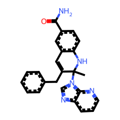 CC1(n2cnc3cccnc32)Nc2ccc(C(N)=O)cc2C=C1Cc1ccccc1